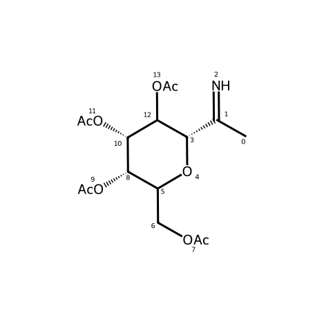 CC(=N)[C@@H]1OC(COC(C)=O)[C@H](OC(C)=O)[C@H](OC(C)=O)C1OC(C)=O